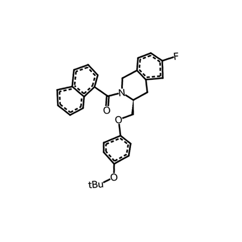 CC(C)(C)Oc1ccc(OC[C@@H]2Cc3cc(F)ccc3CN2C(=O)c2cccc3ccccc23)cc1